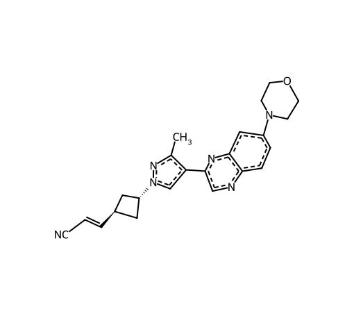 Cc1nn([C@H]2C[C@H](/C=C/C#N)C2)cc1-c1cnc2ccc(N3CCOCC3)cc2n1